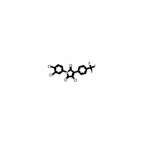 O=C1C(Cl)=C(c2ccc(C(F)(F)F)cc2)C(=O)N1c1ccc(Cl)c(Cl)c1